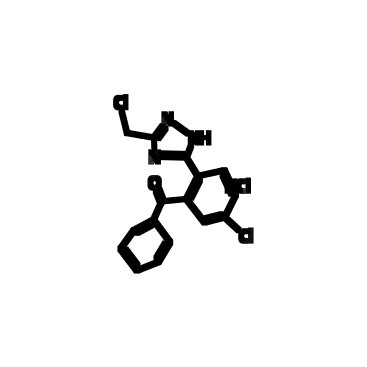 Cl.O=C(c1ccccc1)c1cc(Cl)ccc1-c1nc(CCl)n[nH]1